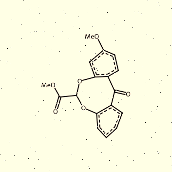 COC(=O)C1Oc2ccccc2C(=O)c2ccc(OC)cc2O1